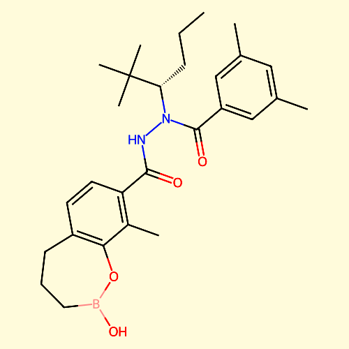 CCC[C@H](N(NC(=O)c1ccc2c(c1C)OB(O)CCC2)C(=O)c1cc(C)cc(C)c1)C(C)(C)C